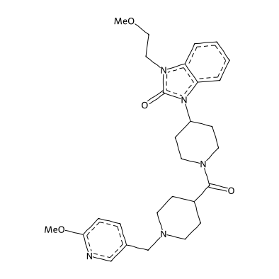 COCCn1c(=O)n(C2CCN(C(=O)C3CCN(Cc4ccc(OC)nc4)CC3)CC2)c2ccccc21